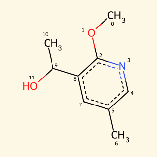 COc1ncc(C)cc1C(C)O